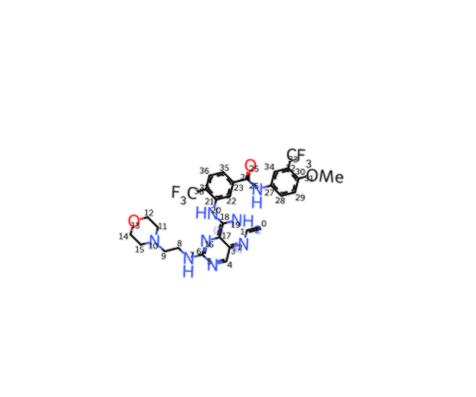 C=C/N=C1/C=NC(NCCN2CCOCC2)=N/C1=C(/N)Nc1cc(C(=O)Nc2ccc(OC)c(C(F)(F)F)c2)ccc1C(F)(F)F